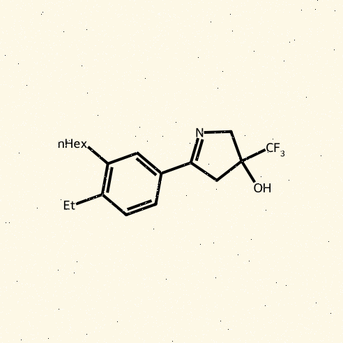 CCCCCCc1cc(C2=NCC(O)(C(F)(F)F)C2)ccc1CC